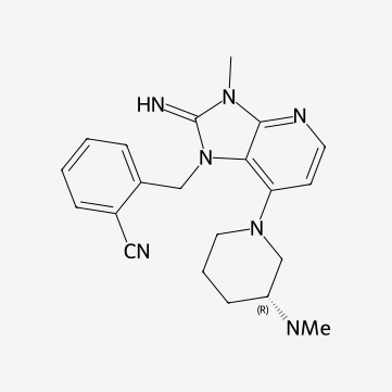 CN[C@@H]1CCCN(c2ccnc3c2n(Cc2ccccc2C#N)c(=N)n3C)C1